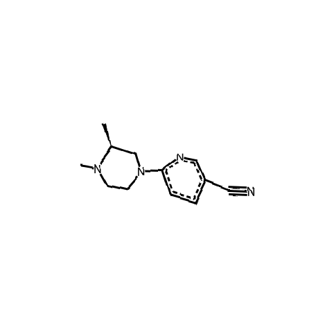 C[C@H]1CN(c2ccc(C#N)cn2)CCN1C